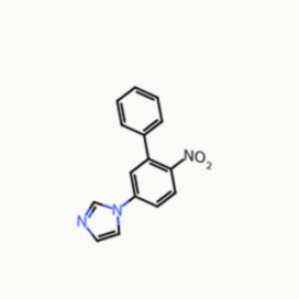 O=[N+]([O-])c1ccc(-n2ccnc2)cc1-c1ccccc1